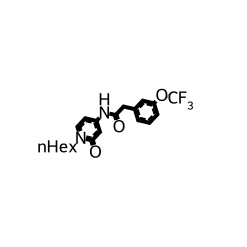 C[CH]CCCCn1ccc(NC(=O)Cc2cccc(OC(F)(F)F)c2)cc1=O